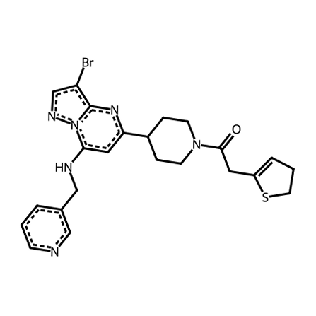 O=C(CC1=CCCS1)N1CCC(c2cc(NCc3cccnc3)n3ncc(Br)c3n2)CC1